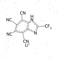 N#Cc1c(C#N)c(C#N)c2[nH]c(C(F)(F)F)nc2c1C#N.[Li+]